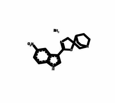 B.O=[N+]([O-])c1ccc2[nH]cc(C3=NCC4(CN5CCC4CC5)O3)c2c1